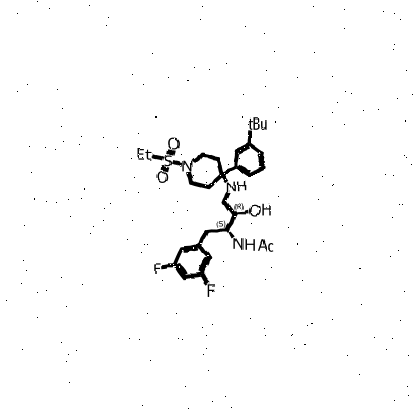 CCS(=O)(=O)N1CCC(NC[C@@H](O)[C@H](Cc2cc(F)cc(F)c2)NC(C)=O)(c2cccc(C(C)(C)C)c2)CC1